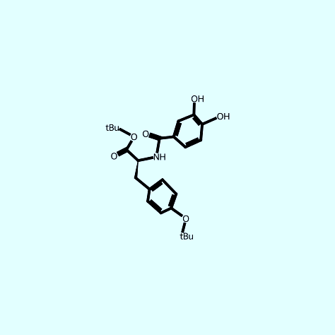 CC(C)(C)OC(=O)[C@H](Cc1ccc(OC(C)(C)C)cc1)NC(=O)c1ccc(O)c(O)c1